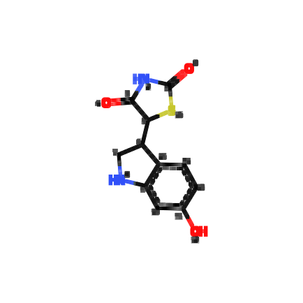 O=C1NC(=O)C(C2CNc3cc(O)ccc32)S1